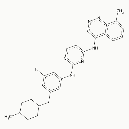 Cc1cccc2c(Nc3ccnc(Nc4cc(F)cc(CC5CCN(C)CC5)c4)n3)cnnc12